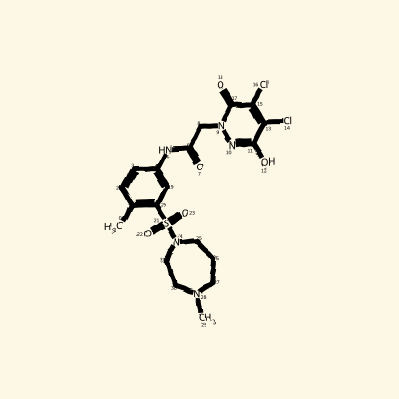 Cc1ccc(NC(=O)Cn2nc(O)c(Cl)c(Cl)c2=O)cc1S(=O)(=O)N1CCCN(C)CC1